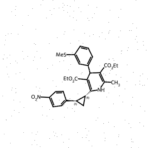 CCOC(=O)C1=C(C)NC([C@@H]2C[C@H]2c2ccc([N+](=O)[O-])cc2)=C(C(=O)OCC)C1c1cccc(SC)c1